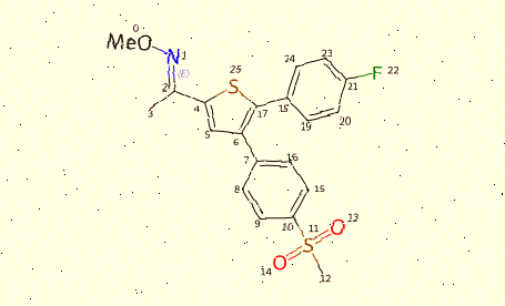 CO/N=C(\C)c1cc(-c2ccc(S(C)(=O)=O)cc2)c(-c2ccc(F)cc2)s1